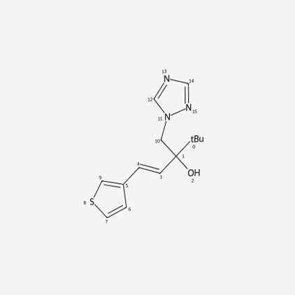 CC(C)(C)C(O)(/C=C/c1ccsc1)Cn1cncn1